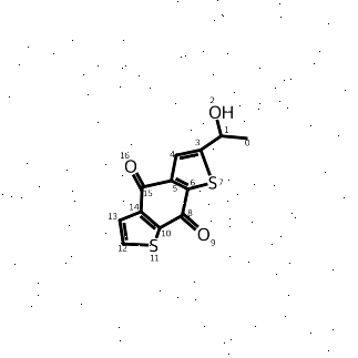 CC(O)c1cc2c(s1)C(=O)c1sccc1C2=O